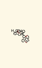 CC1(C)c2ccccc2-c2ccc(N(c3ccc4c(c3)-c3ccccc3C43c4ccccc4Sc4ccc5ccccc5c43)c3ccccc3-c3ccccc3)cc21